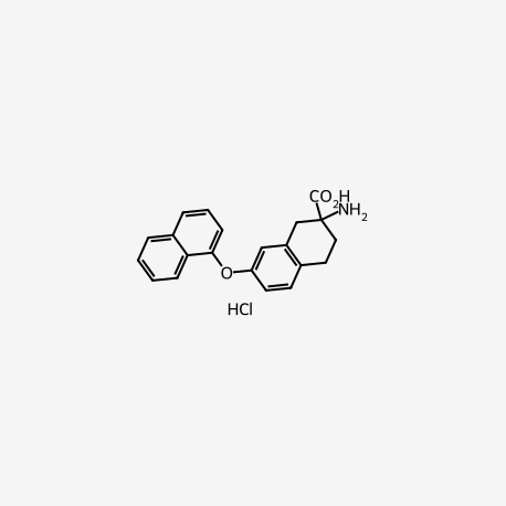 Cl.NC1(C(=O)O)CCc2ccc(Oc3cccc4ccccc34)cc2C1